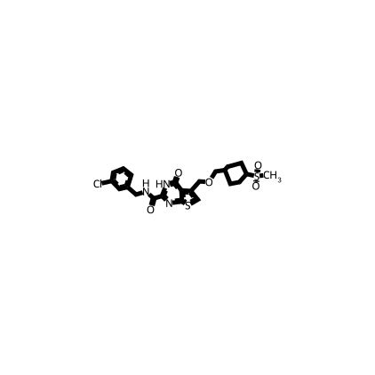 CS(=O)(=O)C1CCC(COCc2csc3nc(C(=O)NCc4cccc(Cl)c4)[nH]c(=O)c23)CC1